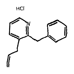 C=CCc1cccnc1Cc1ccccc1.Cl